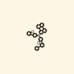 c1ccc(-c2cccc3c2oc2cc(N(c4cccc(-c5cccc6cccc(-c7ccccc7)c56)c4)c4ccc5c(c4)oc4ccccc45)ccc23)cc1